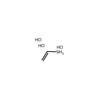 C=C[SiH3].Cl.Cl.Cl